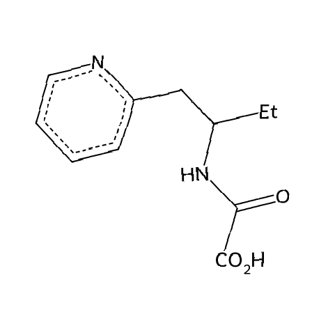 CCC(Cc1ccccn1)NC(=O)C(=O)O